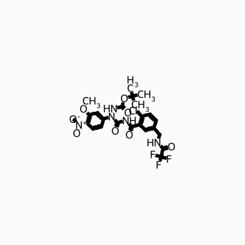 COc1cc(N(NC(=O)OC(C)(C)C)C(=O)NC(=O)c2cc(CNC(=O)C(F)(F)F)ccc2Cl)ccc1[N+](=O)[O-]